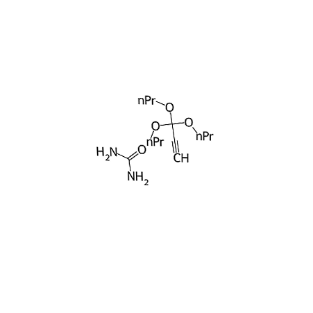 C#CC(OCCC)(OCCC)OCCC.NC(N)=O